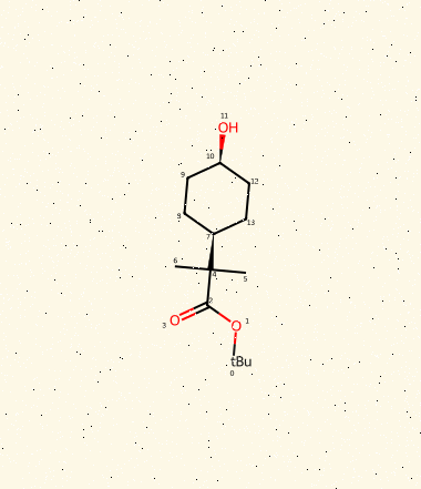 CC(C)(C)OC(=O)C(C)(C)[C@H]1CC[C@@H](O)CC1